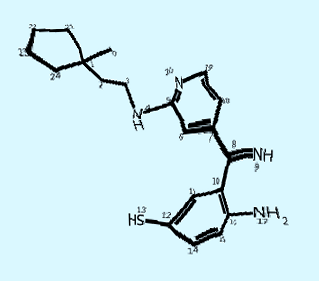 CC1(CCNc2cc(C(=N)c3cc(S)ccc3N)ccn2)CCCC1